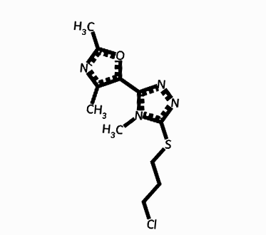 Cc1nc(C)c(-c2nnc(SCCCCl)n2C)o1